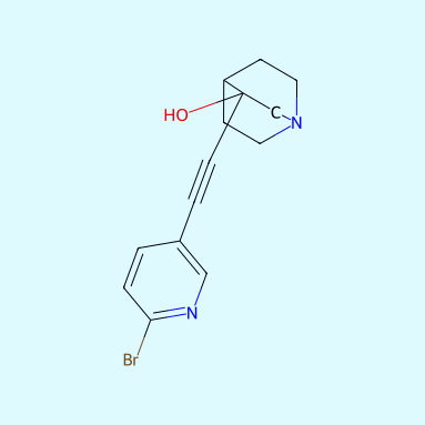 OC1(C#Cc2ccc(Br)nc2)CN2CCC1CC2